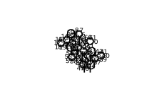 c1ccc(N2c3cccc4c3[SiH]3c5c(cc6ccccc6c5Oc5cc6c7c8c(cc6c2c53)Oc2c3c(cc5ccccc25)Oc2cccc(c2[SiH]38)N7c2ccccc2)O4)cc1